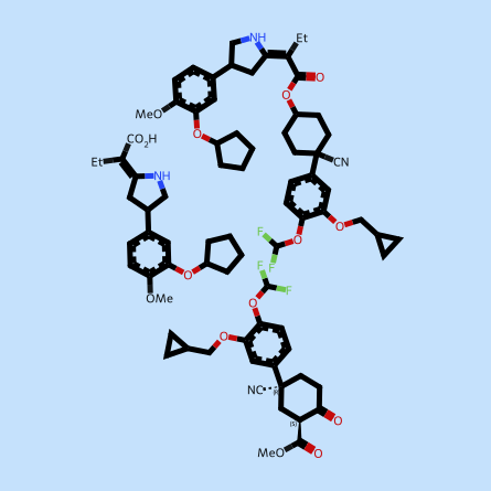 CCC(C(=O)O)=C1CC(c2ccc(OC)c(OC3CCCC3)c2)CN1.CCC(C(=O)OC1CCC(C#N)(c2ccc(OC(F)F)c(OCC3CC3)c2)CC1)=C1CC(c2ccc(OC)c(OC3CCCC3)c2)CN1.COC(=O)[C@H]1C[C@@](C#N)(c2ccc(OC(F)F)c(OCC3CC3)c2)CCC1=O